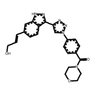 O=C(c1ccc(-n2cc(-c3n[nH]c4cc(/C=C/CO)ccc34)nn2)cc1)N1CCOCC1